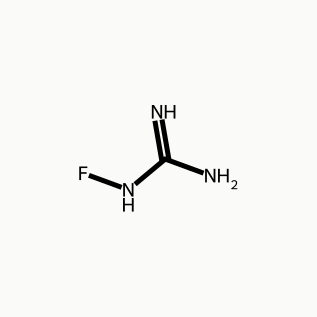 N=C(N)NF